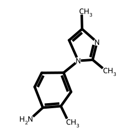 Cc1cn(-c2ccc(N)c(C)c2)c(C)n1